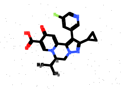 CC(C)[C@@H]1Cn2nc(C3CC3)c(-c3cncc(F)c3)c2-c2cc(=O)c(C(=O)O)cn21